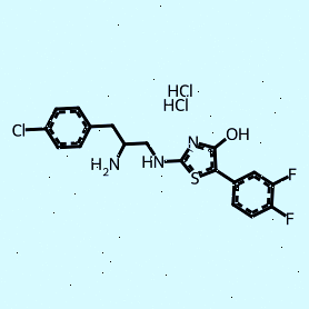 Cl.Cl.NC(CNc1nc(O)c(-c2ccc(F)c(F)c2)s1)Cc1ccc(Cl)cc1